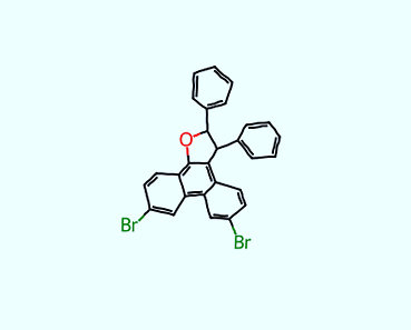 Brc1ccc2c3c(c4ccc(Br)cc4c2c1)C(c1ccccc1)C(c1ccccc1)O3